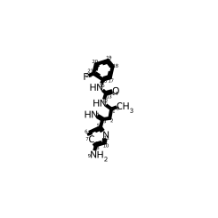 CC(CC(=N)c1ccc(N)cn1)NC(=O)Nc1ccccc1F